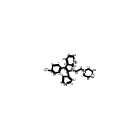 Fc1ccc(-c2c(-c3ccncc3)n(CCN3CCOCC3)c3ncccc23)cc1